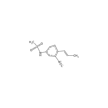 [C-]#[N+]c1cc(NS(C)(=O)=O)ccc1/C=C/C